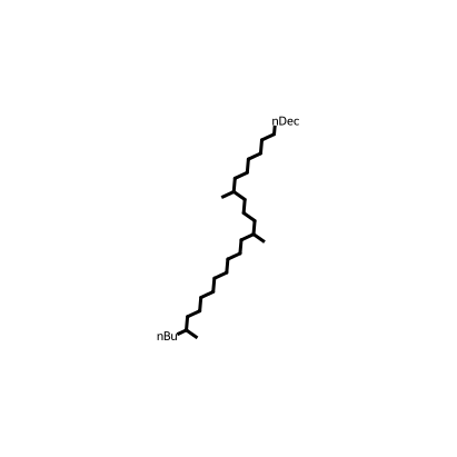 CCCCCCCCCCCCCCCCC(C)CCCC(C)CCCCCCCCCC(C)CCCC